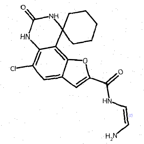 N/C=C\NC(=O)c1cc2cc(Cl)c3c(c2o1)C1(CCCCC1)NC(=O)N3